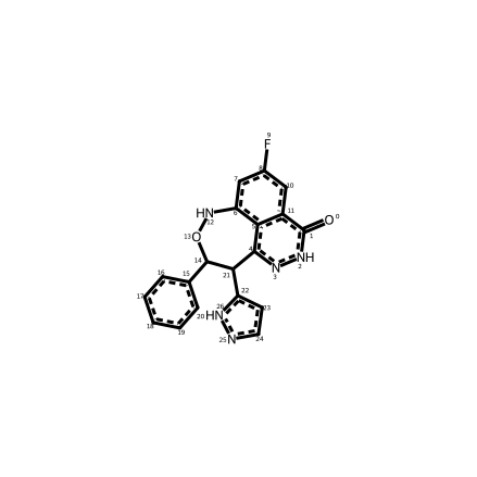 O=c1[nH]nc2c3c(cc(F)cc13)NOC(c1ccccc1)C2c1ccn[nH]1